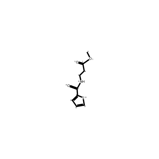 COC(=O)CCNC(=O)c1cccs1